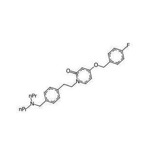 CCCN(CCC)Cc1ccc(CCn2ccc(OCc3ccc(F)cc3)cc2=O)cc1